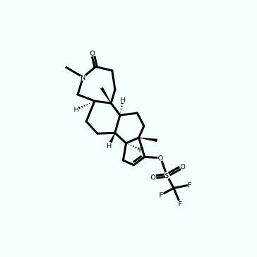 CN1C[C@@H]2CC[C@@H]3[C@H](CC[C@]4(C)C(OS(=O)(=O)C(F)(F)F)=CC[C@@H]34)[C@@]2(C)CCC1=O